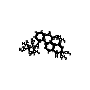 CC1=CC(C)(C)Nc2ccc3c(c21)C(O)Oc1cccc(O[Si](C)(C)C(C)(C)C)c1-3